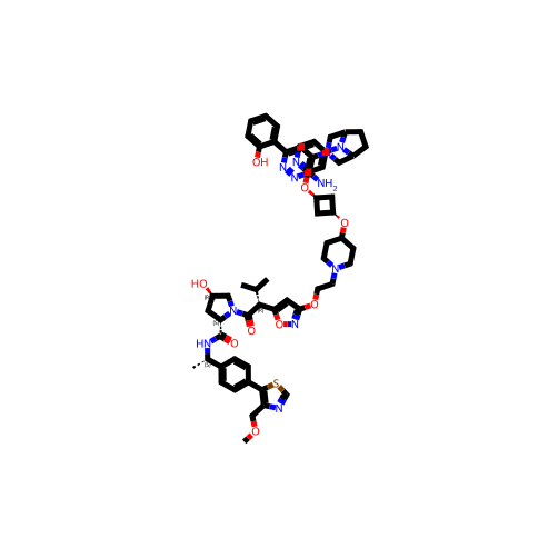 COCc1ncsc1-c1ccc([C@H](C)NC(=O)[C@@H]2C[C@@H](O)CN2C(=O)[C@@H](c2cc(OCCN3CCC(O[C@H]4C[C@H](Oc5cc(N6C7CCC6CN(c6cc(-c8ccccc8O)nnc6N)C7)ccn5)C4)CC3)no2)C(C)C)cc1